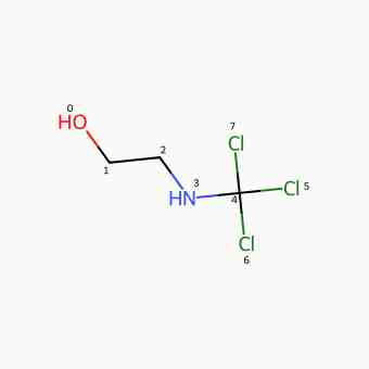 OCCNC(Cl)(Cl)Cl